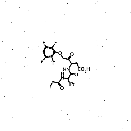 CC(C)C(NC(=O)CI)C(=O)NC(CC(=O)O)C(=O)COc1c(F)c(F)cc(F)c1F